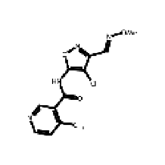 CO/N=C/c1noc(NC(=O)c2cnccc2C(F)(F)F)c1Cl